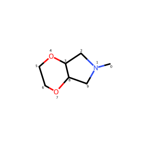 CN1CC2OCCOC2C1